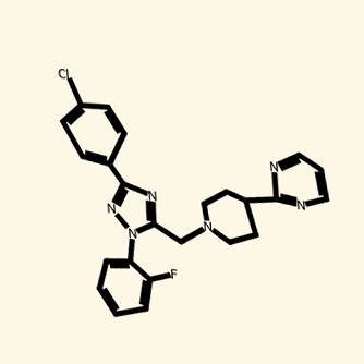 Fc1ccccc1-n1nc(-c2ccc(Cl)cc2)nc1CN1CCC(c2ncccn2)CC1